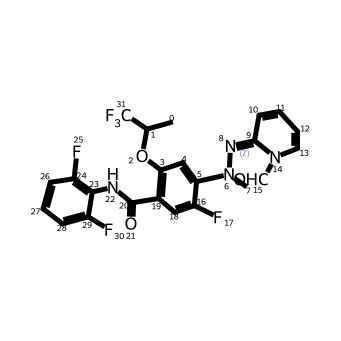 CC(Oc1cc(N(C)/N=c2/ccccn2C=O)c(F)cc1C(=O)Nc1c(F)cccc1F)C(F)(F)F